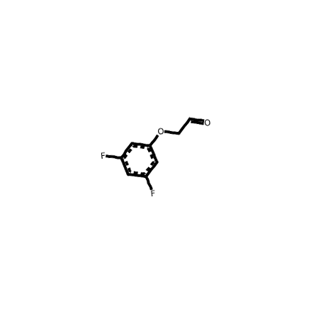 O=[C]COc1cc(F)cc(F)c1